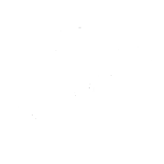 CNS(=O)(=O)CC(=O)NC(c1ccccc1)c1ccccc1